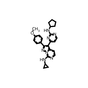 COc1ccc(-c2nn3c(NC4CC4)nccc3c2-c2ccnc(NC3CCCC3)n2)cc1